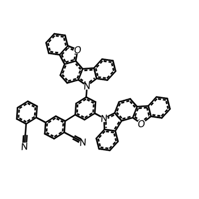 N#Cc1ccccc1-c1ccc(C#N)c(-c2cc(-n3c4ccccc4c4c5oc6ccccc6c5ccc43)cc(-n3c4ccccc4c4c5oc6ccccc6c5ccc43)c2)c1